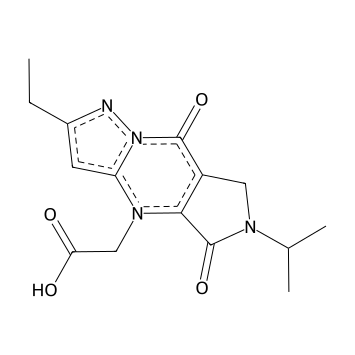 CCc1cc2n(CC(=O)O)c3c(c(=O)n2n1)CN(C(C)C)C3=O